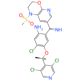 C[C@@H](Oc1cc(C(=N)c2cnc3c(c2)N(S(C)(=O)=O)CCO3)c(N)cc1Cl)c1c(Cl)cncc1Cl